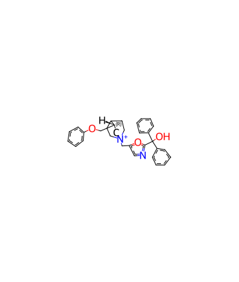 OC(c1ccccc1)(c1ccccc1)c1ncc(C[N+]23CCC(CC2)[C@@H](COc2ccccc2)C3)o1